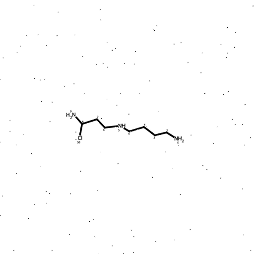 NCCCCNCCC(N)Cl